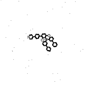 S=P12c3cc(-c4ccccc4)ccc3Oc3ccc(-c4ccc(-c5ccncc5)cc4)c(c31)Oc1ccc(-c3ccccc3)cc12